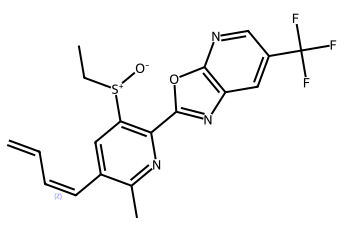 C=C/C=C\c1cc([S+]([O-])CC)c(-c2nc3cc(C(F)(F)F)cnc3o2)nc1C